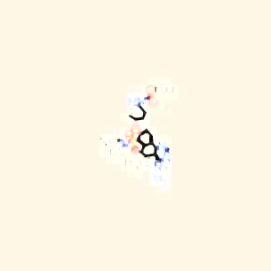 CN(CC#N)S(=O)(=O)c1c(O[C@H]2CC[C@H](NC(=O)OC(C)(C)C)CC2)ccc2c1CC(C)(C)c1c(N)ncnc1-2